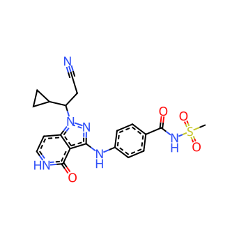 CS(=O)(=O)NC(=O)c1ccc(Nc2nn(C(CC#N)C3CC3)c3cc[nH]c(=O)c23)cc1